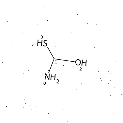 NC(O)S